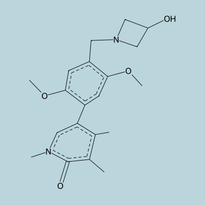 COc1cc(-c2cn(C)c(=O)c(C)c2C)c(OC)cc1CN1CC(O)C1